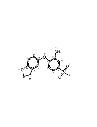 CS(=O)(=O)c1ccc(Oc2ccc3c(c2)OCO3)c(N)c1